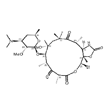 CC[C@H]1OC(=O)[C@H](C)C(=O)[C@H](C)[C@@H](O[C@@H]2O[C@H](C)C[C@H](N(C)C)[C@H]2OC)[C@](C)(OC)C[C@](C)(F)C(=O)[C@H](C)[C@H]2NC(=O)O[C@@]21C